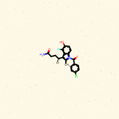 CC[C@@H](CCC(N)=O)c1c(C)n(C(=O)c2ccc(Cl)cc2)c2ccc(O)c(F)c12